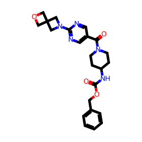 O=C(NC1CCN(C(=O)c2cnc(N3CC4(COC4)C3)nc2)CC1)OCc1ccccc1